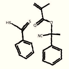 C=C(C)C(=O)OC(C)(C#N)c1ccccc1.S=C(S)c1ccccc1